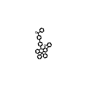 O=C(c1ccccc1)c1ccc(-c2ccc(N3c4ccccc4C(c4ccccc4)(c4ccccc4)c4ccc5c(oc6ccccc65)c43)cc2)cc1